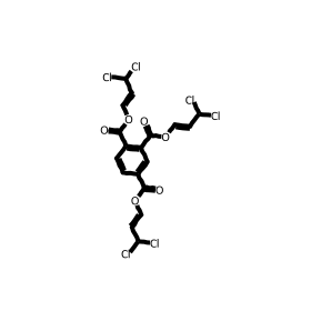 O=C(O/C=C/C(Cl)Cl)c1ccc(C(=O)O/C=C/C(Cl)Cl)c(C(=O)O/C=C/C(Cl)Cl)c1